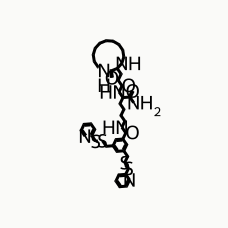 NC(=O)C(CCCCNC(=O)c1cc(CSSc2ccccn2)cc(CSSc2ccccn2)c1)NC(=O)CCC1NCCCCCCCCCCNC1=O